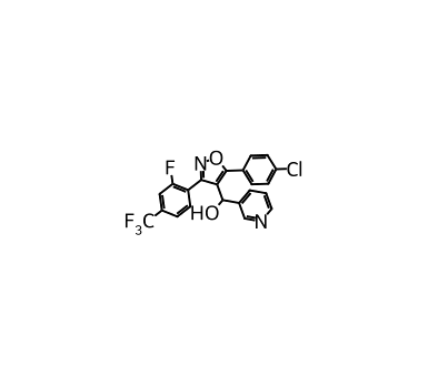 OC(c1cccnc1)c1c(-c2ccc(C(F)(F)F)cc2F)noc1-c1ccc(Cl)cc1